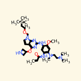 C=CC(=O)Nc1cc(Nc2nc(OC3CNC3)c3ccn(COCC[Si](C)(C)C)c3n2)c(OC)cc1N(C)CCN(C)C